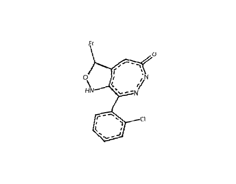 CCC1ONc2c1cc(=O)nnc2-c1ccccc1Cl